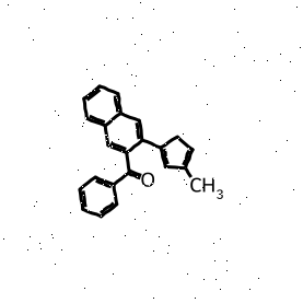 CC1=CCC(c2cc3ccccc3cc2C(=O)c2ccccc2)=C1